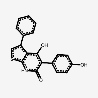 O=c1[nH]c2scc(-c3ccccc3)c2c(O)c1-c1ccc(O)cc1